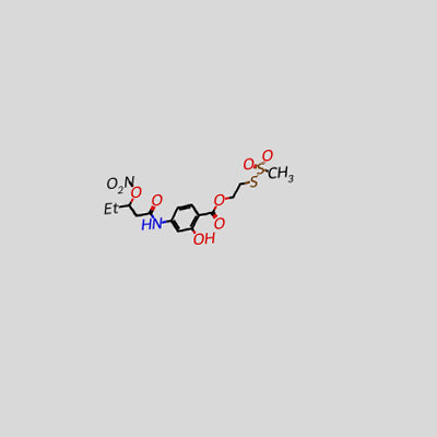 CCC(CC(=O)Nc1ccc(C(=O)OCCSS(C)(=O)=O)c(O)c1)O[N+](=O)[O-]